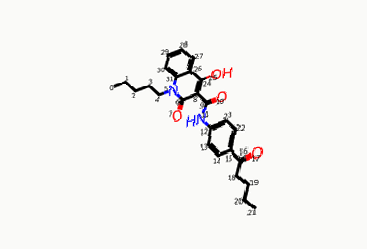 CCCCCn1c(=O)c(C(=O)Nc2ccc(C(=O)CCCC)cc2)c(O)c2ccccc21